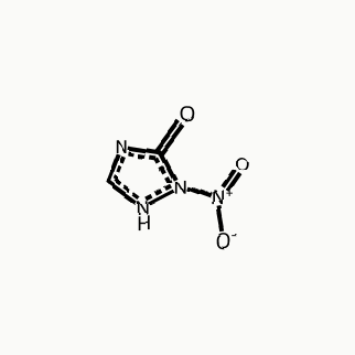 O=c1nc[nH]n1[N+](=O)[O-]